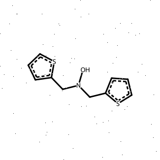 ON(Cc1cccs1)Cc1cccs1